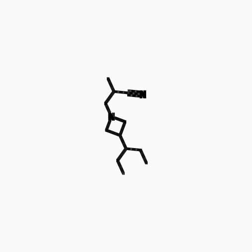 CCC(CC)C1CN(CC(C)C#N)C1